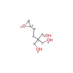 OCC(CO)(CO)CCC1CO1